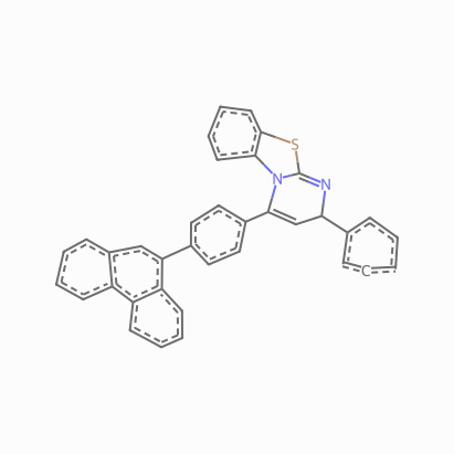 C1=C(c2ccc(-c3cc4ccccc4c4ccccc34)cc2)N2C(=NC1c1ccccc1)Sc1ccccc12